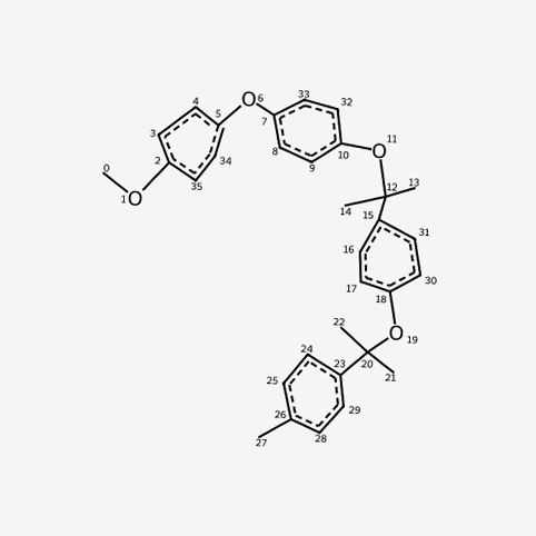 COc1ccc(Oc2ccc(OC(C)(C)c3ccc(OC(C)(C)c4ccc(C)cc4)cc3)cc2)cc1